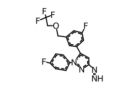 N=Nc1cc(-c2cc(F)cc(COCC(F)(F)F)c2)n(-c2ccc(F)cc2)n1